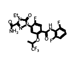 CCn1c(C(N)=O)nn(-c2cc(OC(C)C(F)(F)F)c(C(=O)Nc3c(F)cccc3F)cc2F)c1=O